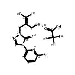 NCC(Cn1ncn(-c2cccc(Br)n2)c1=O)=C(F)F.O=C(O)C(F)(F)F